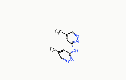 FC(F)(F)c1cnnc(Nc2cc(C(F)(F)F)cnn2)c1